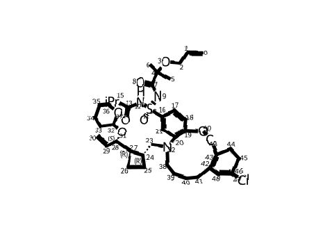 C=CCOC(C)(C)C(=O)N=S(=O)(NC(=O)C(C)C)c1ccc2c(c1)N(C[C@@H]1CC[C@H]1[C@H](C=C)OC1CCCCO1)CCCCC1=C(CCC(Cl)=C1)CO2